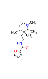 CC1CCN(C)C(C)C1(C)CCNC(=O)c1ccco1